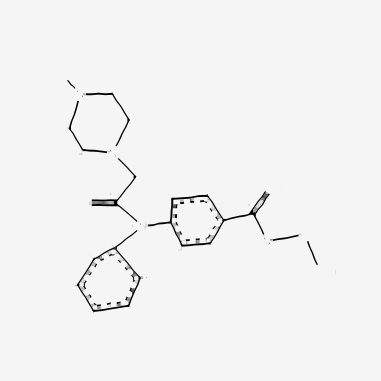 CN1CCN(CC(=O)N(c2ccccc2)c2ccc(C(=O)NOC(C)(C)C)cc2)CC1